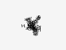 CCCS(=O)(=O)N(C(=O)[C@H](Cc1ccc(-c2ccsc2)cc1)N(C)C(=O)c1cc(C)cc(C)c1)[C@@H](Cc1c[nH]c2ccccc12)C(N)=O